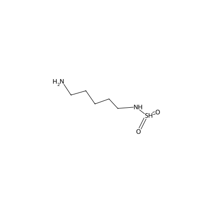 NCCCCCN[SH](=O)=O